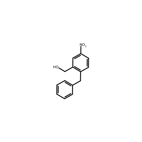 O=[N+]([O-])c1ccc(Cc2ccccc2)c(CO)c1